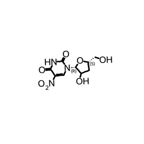 O=c1[nH]c(=O)n([C@@H]2O[C@H](CO)CC2O)cc1[N+](=O)[O-]